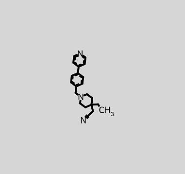 CCC1(CC#N)CCN(Cc2ccc(-c3ccncc3)cc2)CC1